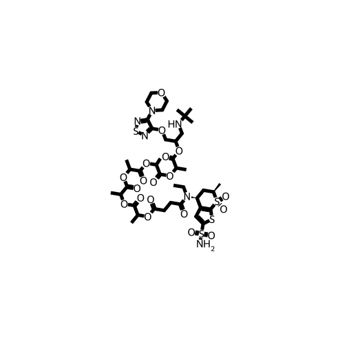 CCN(C(=O)CCC(=O)OC(C)C(=O)OC(C)C(=O)OC(C)C(=O)OC(C)C(=O)OC(C)C(=O)OC(CNC(C)(C)C)COc1nsnc1N1CCOCC1)[C@@H]1C[C@@H](C)S(=O)(=O)c2sc(S(N)(=O)=O)cc21